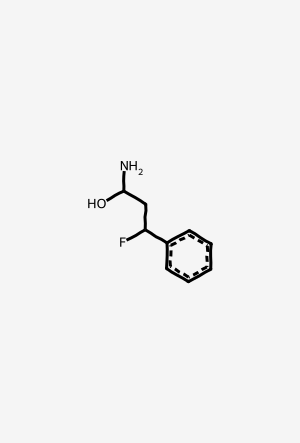 NC(O)CC(F)c1ccccc1